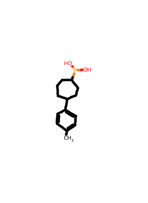 Cc1ccc(C2CCCC(P(O)O)CC2)cc1